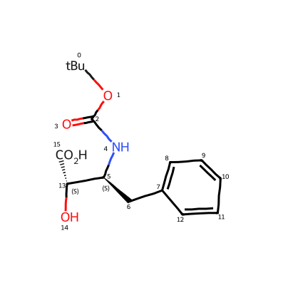 CC(C)(C)OC(=O)N[C@@H](Cc1ccccc1)[C@H](O)C(=O)O